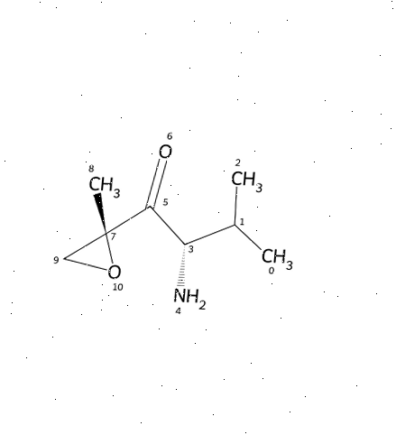 CC(C)[C@H](N)C(=O)[C@@]1(C)CO1